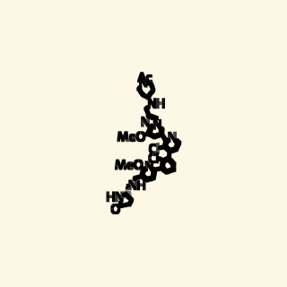 COc1nc(-c2cccc(-c3ccnc(-c4cc(OC)c5nc(CNC6CCN(C(C)=O)CC6)cn5c4)c3Cl)c2Cl)ccc1CNC[C@@H]1CCC(=O)N1